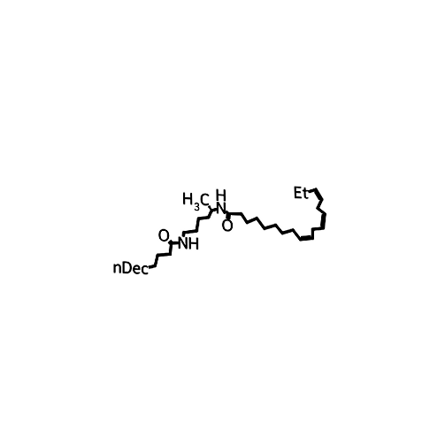 CC/C=C\C/C=C\C/C=C\CCCCCCCC(=O)N[C@H](C)CCCCNC(=O)CCCCCCCCCCCCC